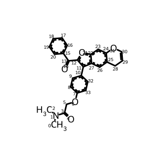 CN(C)C(=O)COc1ccc(-c2c(C(=O)c3ccccc3)oc3cc4c(cc23)CC=CO4)cc1